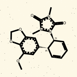 COc1cc([C@H]2C=CC=C[C@@H]2n2c(=O)n(C)c(=O)n2C)cc2c1OCO2